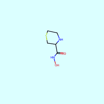 O=C(NO)C1CSCCN1